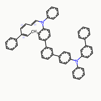 C\C=C(/C=C\C=C\N(c1ccccc1)c1ccc(-c2cccc(-c3ccc(N(c4ccccc4)c4cccc(-c5ccccc5)c4)cc3)c2)cc1)c1ccccc1